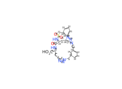 O=C(O)[C@@H]1Cc2cn(nn2)Cc2cccc(c2)Cn2cc(nn2)C[C@@H](NS(=O)(=O)Cc2ccccc2)C(=O)N1